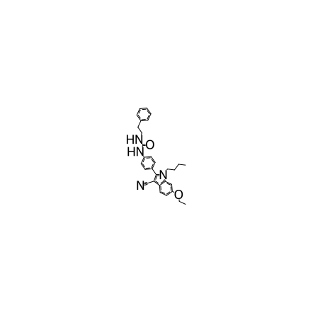 CCCCn1c(-c2ccc(NC(=O)NCCc3ccccc3)cc2)c(C#N)c2ccc(OCC)cc21